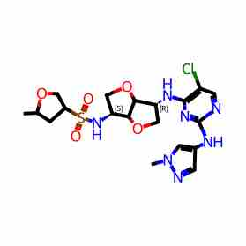 CC1CC(S(=O)(=O)N[C@H]2COC3C2OC[C@H]3Nc2nc(Nc3cnn(C)c3)ncc2Cl)CO1